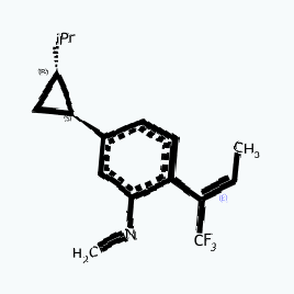 C=Nc1cc([C@H]2C[C@@H]2C(C)C)ccc1/C(=C\C)C(F)(F)F